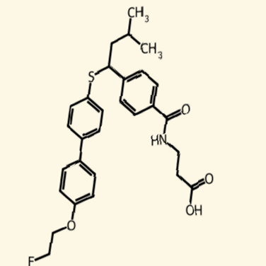 CC(C)CC(Sc1ccc(-c2ccc(OCCF)cc2)cc1)c1ccc(C(=O)NCCC(=O)O)cc1